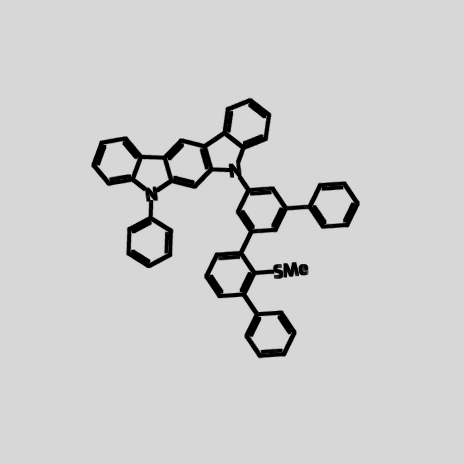 CSc1c(-c2ccccc2)cccc1-c1cc(-c2ccccc2)cc(-n2c3ccccc3c3cc4c5ccccc5n(-c5ccccc5)c4cc32)c1